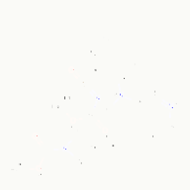 CC(C)S(=O)(=NC(=O)OC(C)(C)C)c1cc(F)ccc1-n1cc(CC2CN(C(=O)OC(C)(C)C)C2)c2ccncc21